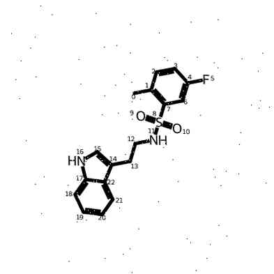 Cc1ccc(F)cc1S(=O)(=O)NCCc1c[nH]c2ccccc12